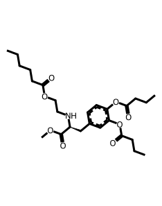 CCCCCC(=O)OCCN[C@@H](Cc1ccc(OC(=O)CCC)c(OC(=O)CCC)c1)C(=O)OC